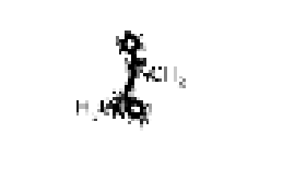 CCn1cc(-c2ccccc2)nc1C#Cc1nc(C)nc2cc(F)ccc12